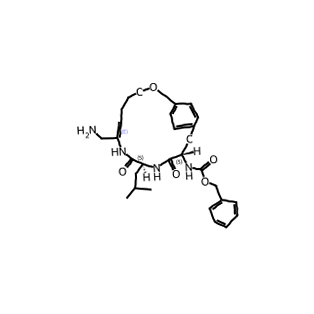 CC(C)C[C@@H]1NC(=O)[C@@H](NC(=O)OCc2ccccc2)Cc2ccc(cc2)OCCC/C=C(\CN)NC1=O